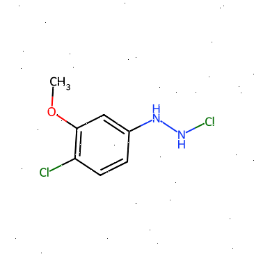 COc1cc(NNCl)ccc1Cl